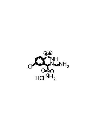 Cl.NCN1NS(=O)(=O)c2ccc(Cl)cc2C1S(N)(=O)=O